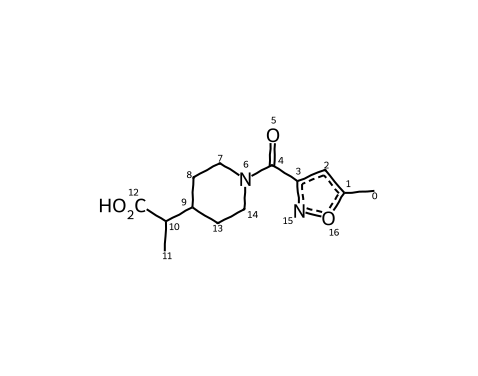 Cc1cc(C(=O)N2CCC(C(C)C(=O)O)CC2)no1